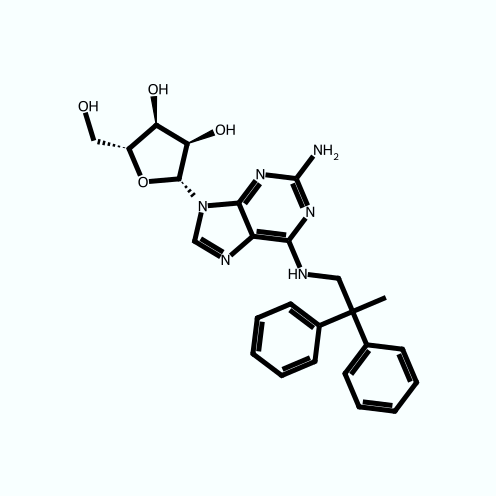 CC(CNc1nc(N)nc2c1ncn2[C@@H]1O[C@H](CO)[C@@H](O)[C@H]1O)(c1ccccc1)c1ccccc1